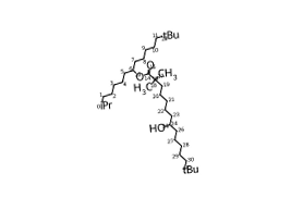 CC(C)CCCCCC(CCCCCC(C)(C)C)OC(=O)C(C)(C)CCCCCC(O)CCCCCC(C)(C)C